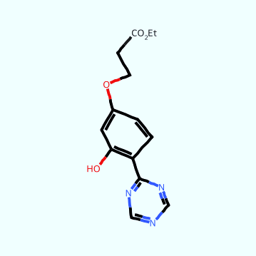 CCOC(=O)CCOc1ccc(-c2ncncn2)c(O)c1